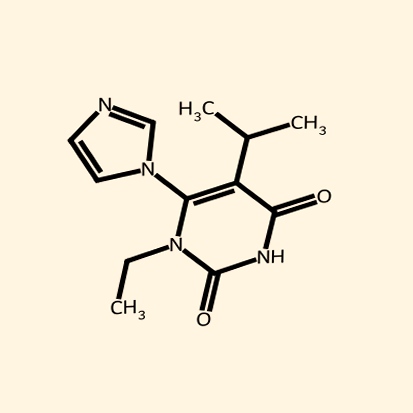 CCn1c(-n2ccnc2)c(C(C)C)c(=O)[nH]c1=O